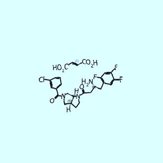 N[C@@H](CC(=O)N1CC[C@H]2CN(C(=O)c3cccc(Cl)c3)C[C@H]21)Cc1cc(F)c(F)cc1F.O=C(O)/C=C/C(=O)O